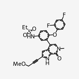 CCS(=O)(=O)Nc1ccc(Oc2ccc(F)cc2F)c(-c2cn(C)c(=O)c3[nH]c(C#CCOC)cc23)c1